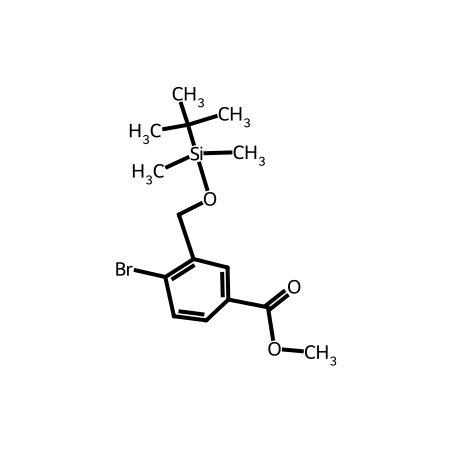 COC(=O)c1ccc(Br)c(CO[Si](C)(C)C(C)(C)C)c1